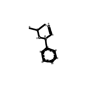 CC(C)ON(C=O)c1cc[c]cc1